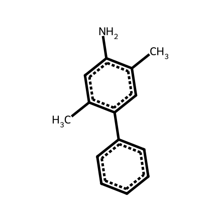 Cc1cc(-c2ccccc2)c(C)cc1N